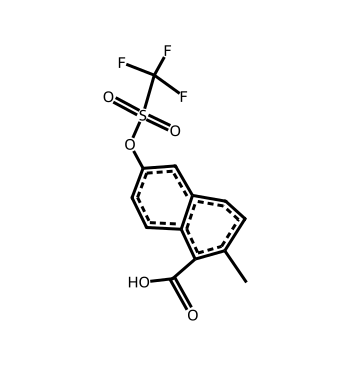 Cc1ccc2cc(OS(=O)(=O)C(F)(F)F)ccc2c1C(=O)O